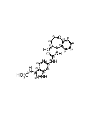 O=C(O)Nc1n[nH]c2cc(NC(=O)N[C@H]3c4ccccc4OCC[C@@H]3O)ncc12